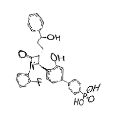 O=C1[C@H](CC[C@H](O)c2ccccc2)[C@@H](c2ccc(-c3ccc(P(=O)(O)O)cc3)cc2O)N1c1ccccc1F